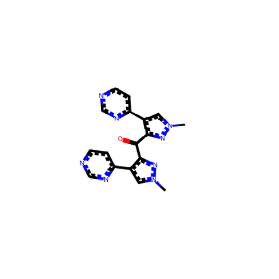 Cn1cc(-c2ccncn2)c(C(=O)c2nn(C)cc2-c2ccncn2)n1